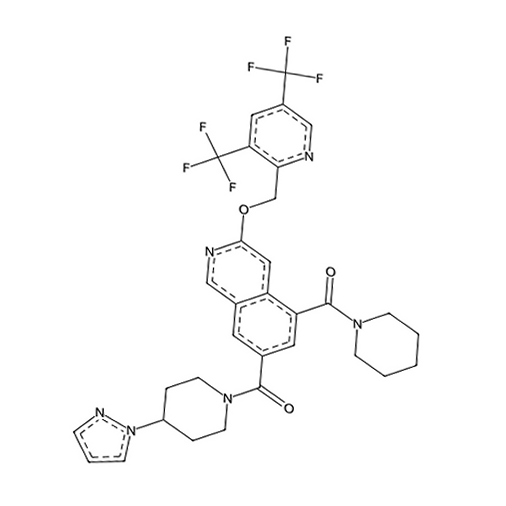 O=C(c1cc(C(=O)N2CCCCC2)c2cc(OCc3ncc(C(F)(F)F)cc3C(F)(F)F)ncc2c1)N1CCC(n2cccn2)CC1